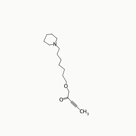 CC#CC(=O)COCCCCCCCN1CCCCC1